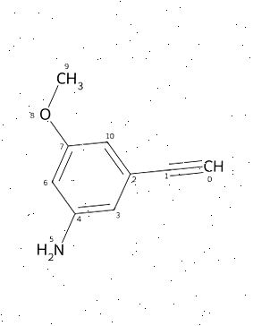 C#Cc1cc(N)cc(OC)c1